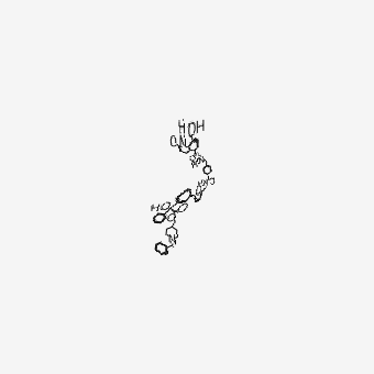 O=C(NCc1ccc(-c2cccc(C(O)(C(=O)OCC3CCN(Cc4ccccc4)CC3)c3ccccc3)c2)o1)c1ccc(CNC[C@H](O)c2ccc(O)c3[nH]c(=O)ccc23)cc1